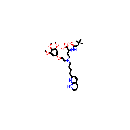 COc1cc(OCCN(CCCCc2ccc3c(n2)NCCC3)CCC(NC(=O)CC(C)(C)C)C(=O)O)cc(OC)c1OC